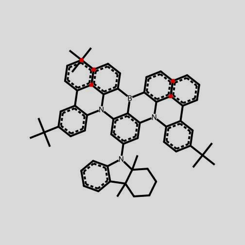 CC(C)(C)c1ccc(N2c3ccccc3B3c4ccc(C(C)(C)C)cc4N(c4ccc(C(C)(C)C)cc4-c4ccccc4)c4cc(N5c6ccccc6C6(C)CCCCC56C)cc2c43)c(-c2ccccc2)c1